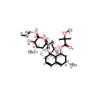 CCOC(C)(C)C(=O)O[C@H]1C[C@H](C(C)(C)C)C=C2C=C[C@H](C)[C@](CC[C@@H]3C[C@H](C(C)(C)C)C(O[SiH](C)C)C(=O)O3)(O[SiH](C)C)[C@H]21